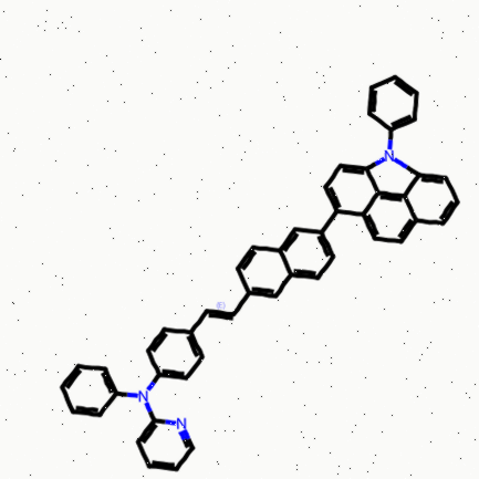 C(=C\c1ccc2cc(-c3ccc4c5c3ccc3cccc(c35)n4-c3ccccc3)ccc2c1)/c1ccc(N(c2ccccc2)c2ccccn2)cc1